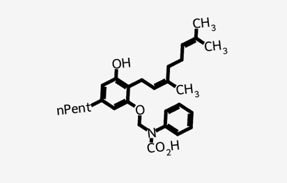 CCCCCc1cc(O)c(CC=C(C)CCC=C(C)C)c(OCN(C(=O)O)c2ccccc2)c1